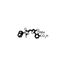 CCc1cc(C=C2SC(=S)N(C3C4CC5CC(C4)CC3C5)C2=O)oc1-c1cccc(C(=O)O)c1OC